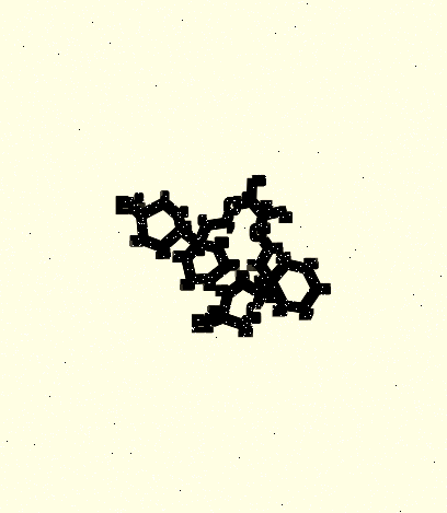 CCC1CCC(C2(CCOC(C)C(C)OCCC3(C4CCC(CC)CC4)CCCCC3)CCCCC2)CC1